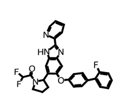 O=C(C(F)F)N1CCCC1c1cc2[nH]c(-c3ccccn3)nc2cc1Oc1ccc(-c2ccccc2F)cc1